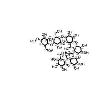 CC(=O)OO[C@H]1O[C@H](CO)[C@@H](O[C@H]2O[C@H](CO)[C@@H](O[C@H]3O[C@H](CO)[C@@H](O[C@H]4O[C@H](CO)[C@@H](O[C@H]5O[C@H](CO)[C@@H](O[C@H]6O[C@H](CO)[C@@H](O)[C@H](O)[C@H]6O)[C@H](O)[C@H]5O)[C@H](O)[C@H]4O)[C@H](O)[C@H]3O)[C@H](O)[C@H]2O)[C@H](O)[C@H]1O